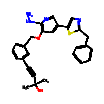 CC(C)(O)C#Cc1cccc(COc2cc(-c3cnc(Cc4ccccc4)s3)cnc2NN)c1